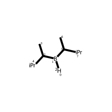 [2H]B(C(C)C(C)C)C(C)C(C)C